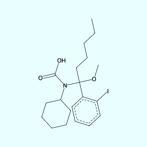 CCCCCC(OC)(c1ccccc1I)N(C(=O)O)C1CCCCC1